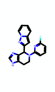 Fc1cccc(N2CCc3[nH]cnc3C2c2cc3ccccn3n2)n1